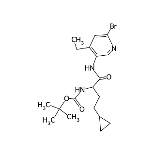 CCc1cc(Br)ncc1NC(=O)C(CCC1CC1)NC(=O)OC(C)(C)C